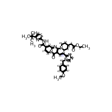 CCOC(=O)CC1CCN(c2nc3cc(C(=O)Nc4nc(C(C)(C)C)cs4)ccn3c(=O)c2/C=C/c2nnnn2Cc2ccc(OC)cc2)CC1